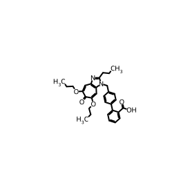 CCCOc1cc2nc(CCC)n(Cc3ccc(-c4ccccc4C(=O)O)cc3)c2cc(OCCC)c1=O